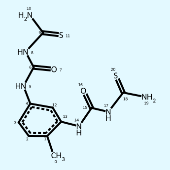 Cc1ccc(NC(=O)NC(N)=S)cc1NC(=O)NC(N)=S